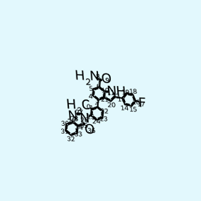 Cc1c(-c2ccc(C(N)=O)c3[nH]c(-c4ccc(F)cc4)cc23)cccc1-n1cnc2ccccc2c1=O